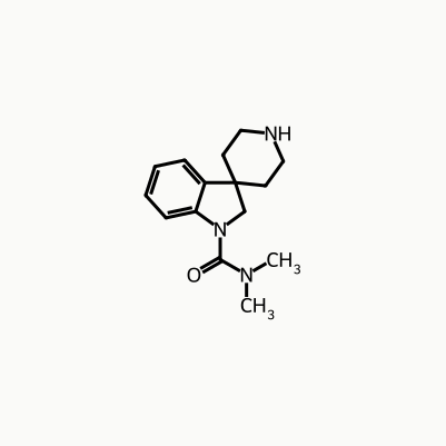 CN(C)C(=O)N1CC2(CCNCC2)c2ccccc21